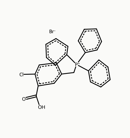 O=C(O)c1cc(C[P+](c2ccccc2)(c2ccccc2)c2ccccc2)ccc1Cl.[Br-]